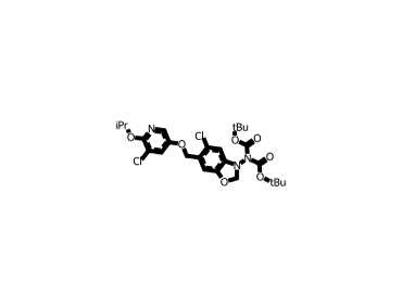 CC(C)Oc1ncc(OCc2cc3c(cc2Cl)N(N(C(=O)OC(C)(C)C)C(=O)OC(C)(C)C)CO3)cc1Cl